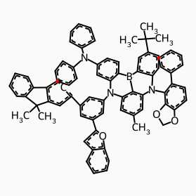 Cc1cc2c3c(c1)N(c1c(-c4ccccc4)ccc4c1OCO4)c1ccc(C(C)(C)C)cc1B3c1ccc(N(c3ccccc3)c3ccccc3)cc1N2c1cc(-c2ccc3c(c2)C(C)(C)c2ccccc2-3)cc(-c2cc3ccccc3o2)c1